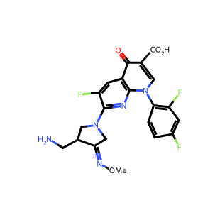 CO/N=C1\CN(c2nc3c(cc2F)c(=O)c(C(=O)O)cn3-c2ccc(F)cc2F)CC1CN